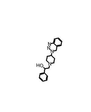 OC(CN1CCC(N2Cc3ccccc3N=N2)CC1)c1ccccc1